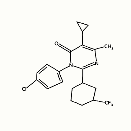 Cc1nc(C2CCCC(C(F)(F)F)C2)n(-c2ccc(Cl)cc2)c(=O)c1C1CC1